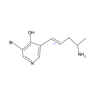 CC(N)C/C=C/c1cncc(Br)c1O